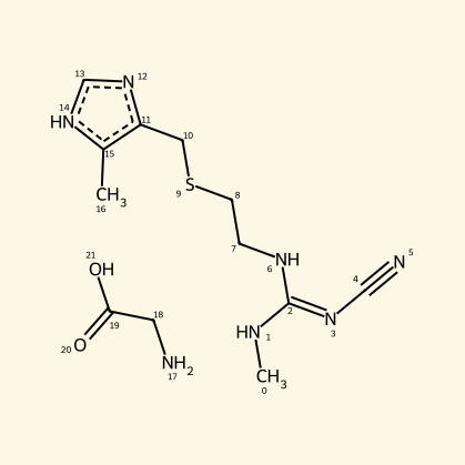 CN/C(=N/C#N)NCCSCc1nc[nH]c1C.NCC(=O)O